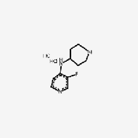 Cl.Cl.Fc1cnccc1NC1CCNCC1